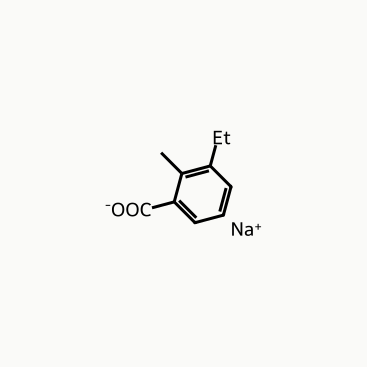 CCc1cccc(C(=O)[O-])c1C.[Na+]